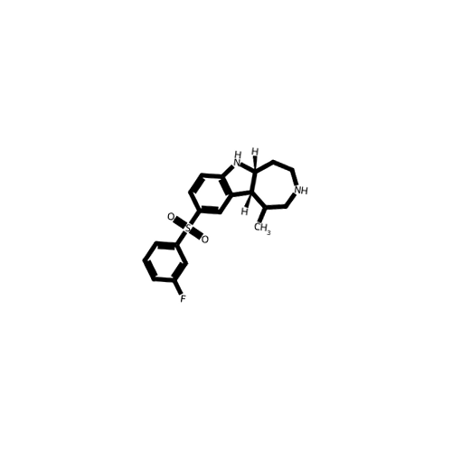 CC1CNCC[C@H]2Nc3ccc(S(=O)(=O)c4cccc(F)c4)cc3[C@@H]12